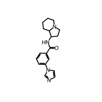 O=C(NC1CCN2CCCCC12)c1cccc(-n2ccnc2)c1